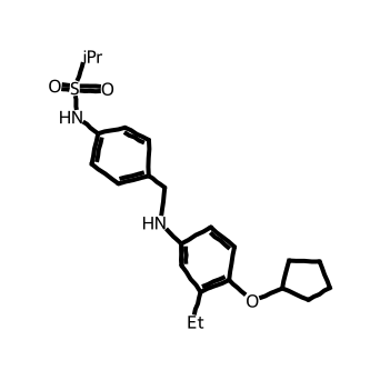 CCc1cc(NCc2ccc(NS(=O)(=O)C(C)C)cc2)ccc1OC1CCCC1